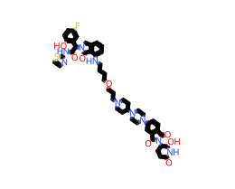 O=C1CCC(N2C(=O)c3ccc(N4CCN(C5CCN(CCCOCCCCNc6cccc7c6C(=O)N(C(C(=O)Nc6nccs6)c6cc(F)ccc6O)C7)CC5)CC4)cc3C2=O)C(O)N1